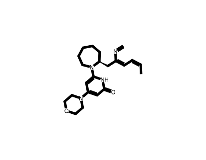 C=N/C(=C\C=C/C)C[C@@H]1CCCCCN1c1cc(N2CCOCC2)cc(=O)[nH]1